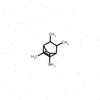 CC1C(C)C2C=CC1C(C)C2N